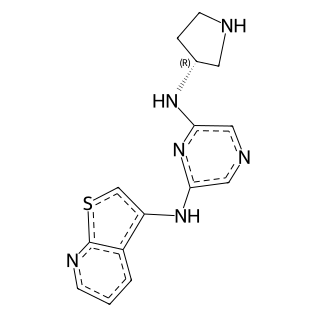 c1cnc2scc(Nc3cncc(N[C@@H]4CCNC4)n3)c2c1